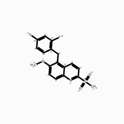 COc1ccc2nc(S(C)(=O)=O)ccc2c1Cc1ccc(F)cc1F